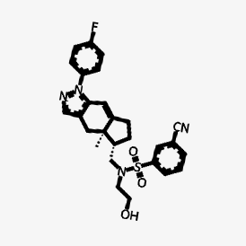 C[C@]12Cc3cnn(-c4ccc(F)cc4)c3C=C1CC[C@@H]2CN(CCO)S(=O)(=O)c1cccc(C#N)c1